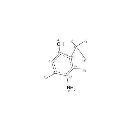 Cc1cc(O)c(C(C)(C)C)c(C)c1N